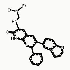 CCN(CC)CNc1cc2cc(-c3ccc4ncccc4c3)c(-c3ccccc3)nc2[nH]c1=O